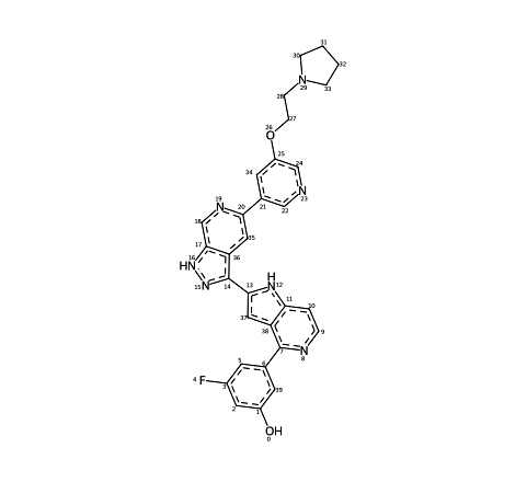 Oc1cc(F)cc(-c2nccc3[nH]c(-c4n[nH]c5cnc(-c6cncc(OCCN7CCCC7)c6)cc45)cc23)c1